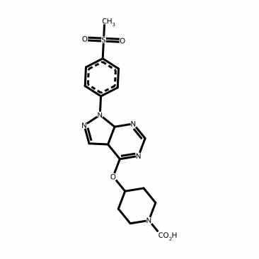 CS(=O)(=O)c1ccc(N2N=CC3C(OC4CCN(C(=O)O)CC4)=NC=NC32)cc1